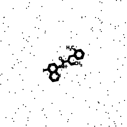 C=CC(Cc1ccccc1C)C(=O)Nc1ccc(I)c2cccnc12